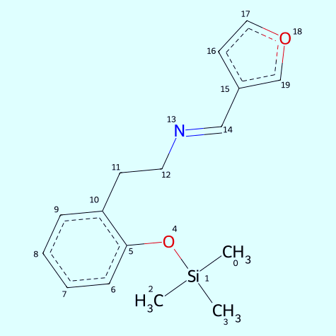 C[Si](C)(C)Oc1ccccc1CCN=Cc1ccoc1